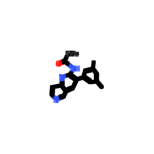 CNC(=O)Nc1nc2ccncc2cc1-c1cc(C)cc(C)c1